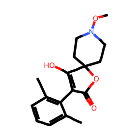 CON1CCC2(CC1)OC(=O)C(c1c(C)cccc1C)=C2O